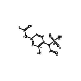 CC(=O)Oc1ccc(C([C]=O)S(=O)(=O)O)c(Cl)c1